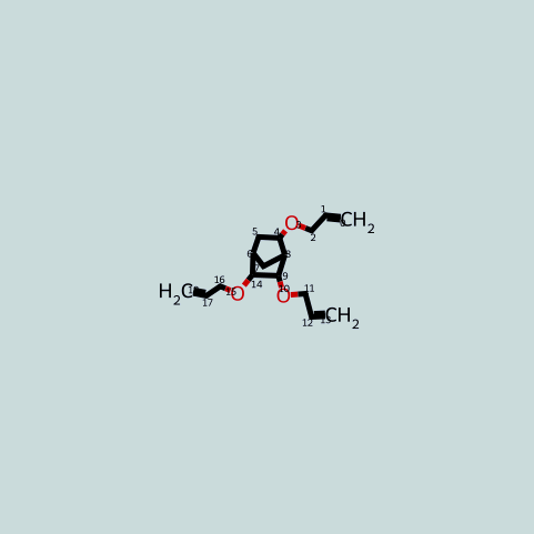 C=CCOC1CC2CC1C(OCC=C)C2OCC=C